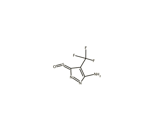 NC1=C(C(F)(F)F)C(=S=O)N=N1